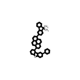 CC1(C)c2ccccc2-c2cc(-c3ccc4ccc5c(-c6cccc7oc8ccc(-c9ccccc9)cc8c67)ccc6ccc3c4c65)ccc21